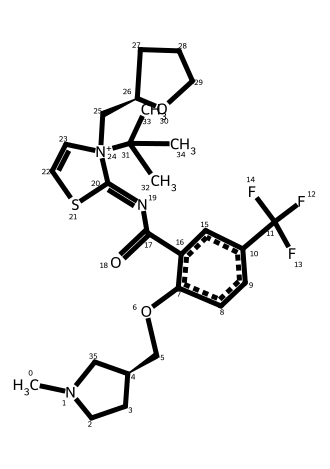 CN1CC[C@H](COc2ccc(C(F)(F)F)cc2C(=O)N=C2SC=C[N+]2(C[C@H]2CCCO2)C(C)(C)C)C1